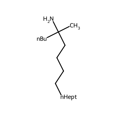 CCCCCCCCCCCC(C)(N)CCCC